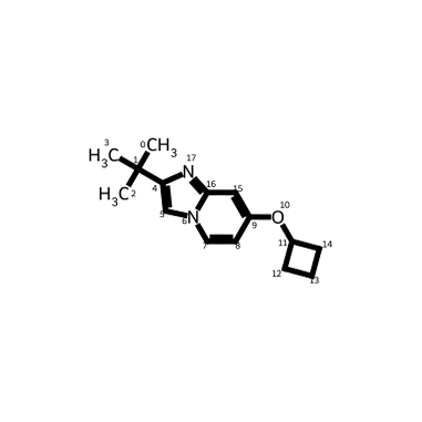 CC(C)(C)c1cn2ccc(OC3CCC3)cc2n1